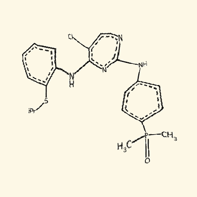 CC(C)Sc1ccccc1Nc1nc(Nc2ccc(P(C)(C)=O)cc2)ncc1Cl